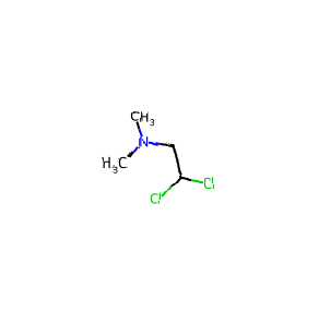 CN(C)CC(Cl)Cl